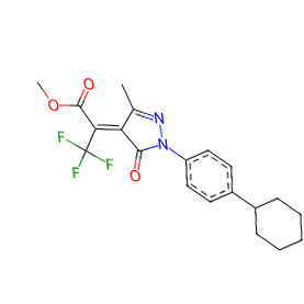 COC(=O)/C(=C1/C(=O)N(c2ccc(C3CCCCC3)cc2)N=C1C)C(F)(F)F